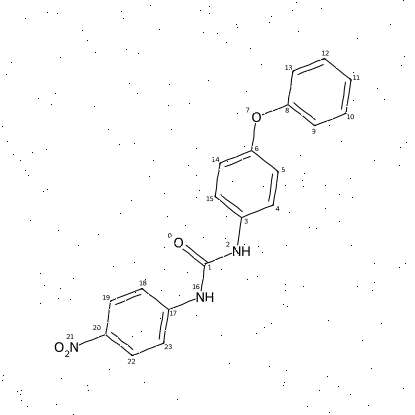 O=C(Nc1ccc(Oc2ccccc2)cc1)Nc1ccc([N+](=O)[O-])cc1